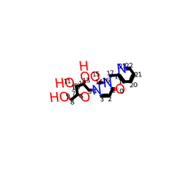 O=c1ccn(C2OC(CO)[C@H](O)C2O)c(=O)n1Cc1ccccn1